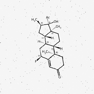 CC(=O)[C@@]1(O)[C@H](C)C[C@H]2[C@@H]3C[C@H](F)C4=CC(=O)CC[C@]4(C)[C@H]3CC[C@@]21C